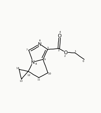 CCOC(=O)c1ncn2c1CCC21CC1